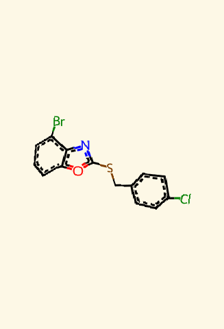 Clc1ccc(CSc2nc3c(Br)cccc3o2)cc1